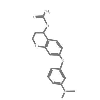 CN(C)c1cccc(Sc2ccc3c(c2)OCCC3OC(N)=O)c1